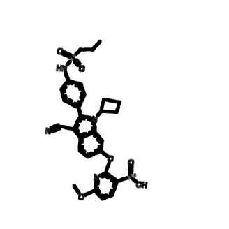 CCCS(=O)(=O)Nc1ccc(-c2c(C#N)c3ccc(Oc4nc(OC)ccc4[N+](=O)O)cc3n2C2CCC2)cc1